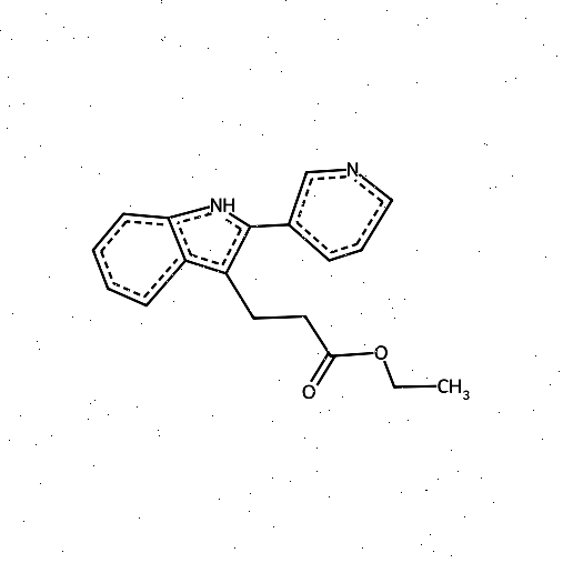 CCOC(=O)CCc1c(-c2cccnc2)[nH]c2ccccc12